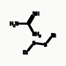 CCSSCC.N=C(N)N